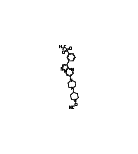 CS(=O)(=O)c1cccc(-c2cnn3cc(N4CCN(C5CCB(OC#N)CC5)CC4)cnc23)c1